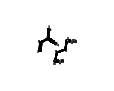 C=CC([O])=O.CCOC(=O)CCC(=O)O